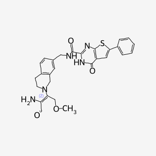 COC/C(=C(/N)C=O)N1CCc2ccc(CNC(=O)c3nc4sc(-c5ccccc5)cc4c(=O)[nH]3)cc2C1